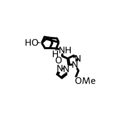 COCCn1ncc(C(=O)N[C@H]2C3CC4CC2C[C@](O)(C4)C3)c1-n1cccn1